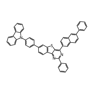 c1ccc(-c2ccc3cc(-c4nc(-c5ccccc5)nc5c4sc4cc(-c6ccc(-n7c8ccccc8c8ccccc87)cc6)ccc45)ccc3c2)cc1